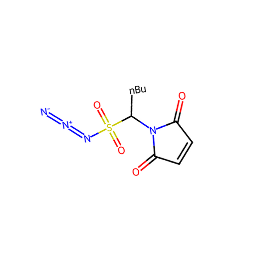 CCCCC(N1C(=O)C=CC1=O)S(=O)(=O)N=[N+]=[N-]